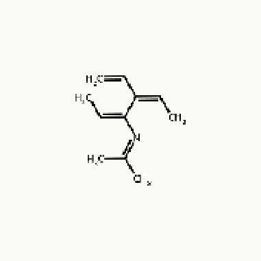 C=CC(=C/C)/C(=C\C)N=C(C)C